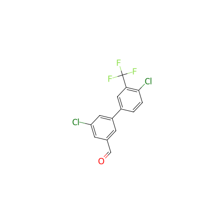 O=Cc1cc(Cl)cc(-c2ccc(Cl)c(C(F)(F)F)c2)c1